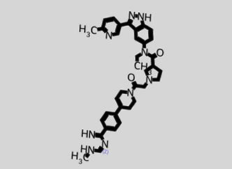 CCN(C(=O)C1CCN(CC(=O)N2CC=C(c3ccc(C(=N)/N=C\NC)cc3)CC2)C1)c1ccc2[nH]nc(-c3ccc(C)nc3)c2c1